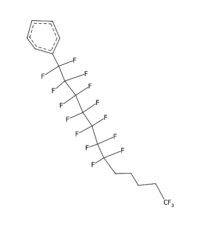 FC(F)(F)CCCCC(F)(F)C(F)(F)C(F)(F)C(F)(F)C(F)(F)C(F)(F)C(F)(F)c1ccccc1